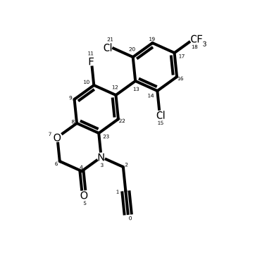 C#CCN1C(=O)COc2cc(F)c(-c3c(Cl)cc(C(F)(F)F)cc3Cl)cc21